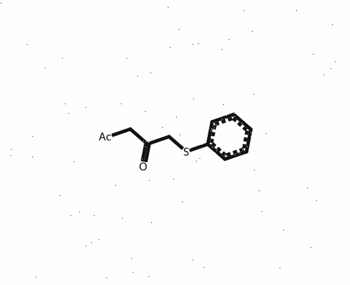 CC(=O)CC(=O)CSc1ccccc1